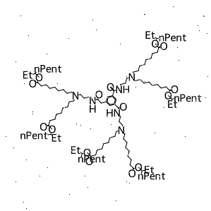 CCCCCC(CC)OC(=O)CCCCCCCCN(CCCCCCCCC(=O)OC(CC)CCCCC)CCCNC(=O)Cc1cc(C(=O)NCCCN(CCCCCCCCC(=O)OC(CC)CCCCC)CCCCCCCCC(=O)OC(CC)CCCCC)cc(C(=O)NCCCN(CCCCCCCCC(=O)OC(CC)CCCCC)CCCCCCCCC(=O)OC(CC)CCCCC)c1